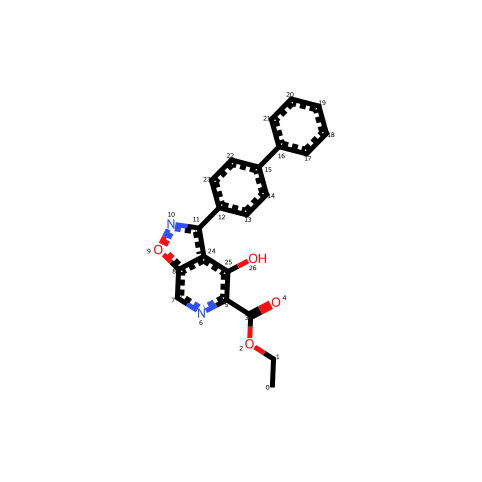 CCOC(=O)c1ncc2onc(-c3ccc(-c4ccccc4)cc3)c2c1O